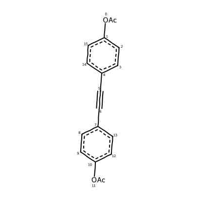 CC(=O)Oc1ccc(C#Cc2ccc(OC(C)=O)cc2)cc1